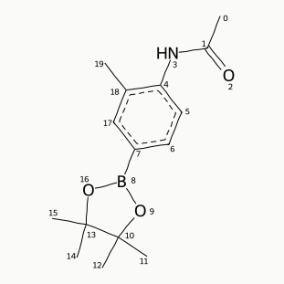 CC(=O)Nc1ccc(B2OC(C)(C)C(C)(C)O2)cc1C